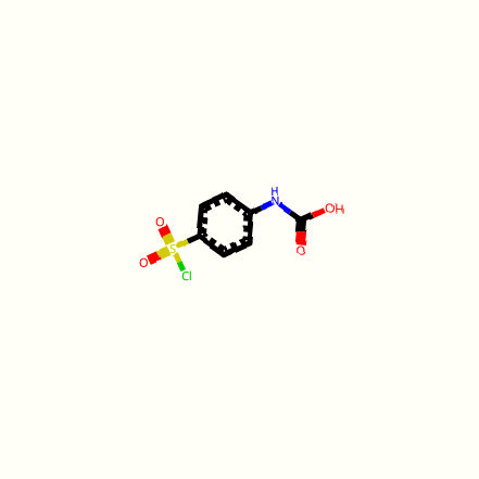 O=C(O)Nc1ccc(S(=O)(=O)Cl)cc1